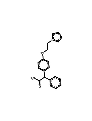 NC(=O)C(c1ccccc1)c1ccc(NCCn2cccc2)cc1